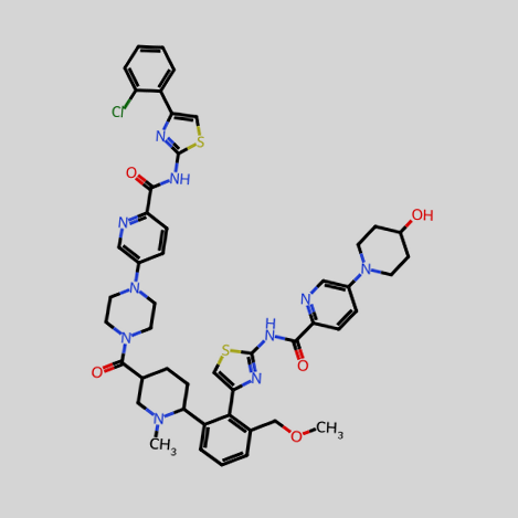 COCc1cccc(C2CCC(C(=O)N3CCN(c4ccc(C(=O)Nc5nc(-c6ccccc6Cl)cs5)nc4)CC3)CN2C)c1-c1csc(NC(=O)c2ccc(N3CCC(O)CC3)cn2)n1